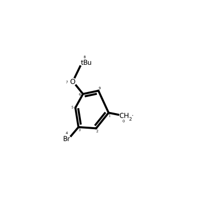 [CH2]c1cc(Br)cc(OC(C)(C)C)c1